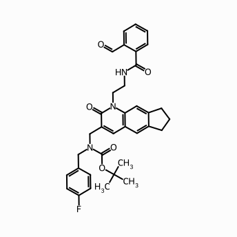 CC(C)(C)OC(=O)N(Cc1ccc(F)cc1)Cc1cc2cc3c(cc2n(CCNC(=O)c2ccccc2C=O)c1=O)CCC3